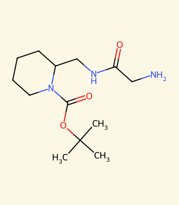 CC(C)(C)OC(=O)N1CCCCC1CNC(=O)CN